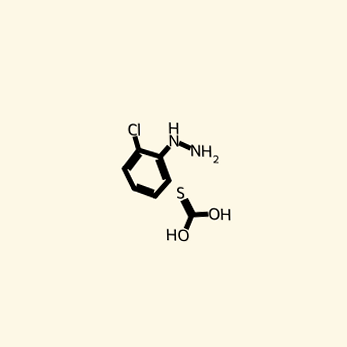 NNc1ccccc1Cl.OC(O)=S